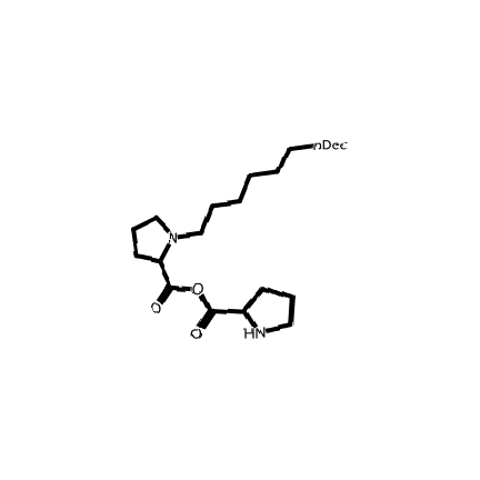 CCCCCCCCCCCCCCCCN1CCCC1C(=O)OC(=O)C1CCCN1